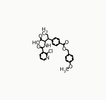 CCC(c1ccc(C(=O)OCc2ccc(OC)cc2)cc1)C(NC(=O)c1cccnc1Cl)C(=O)O